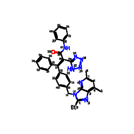 CCc1nc2c(C)cc(C)nc2n1Cc1ccc(C(=C(C(=O)Nc2ccccc2)c2nnn[nH]2)c2ccccc2)cc1